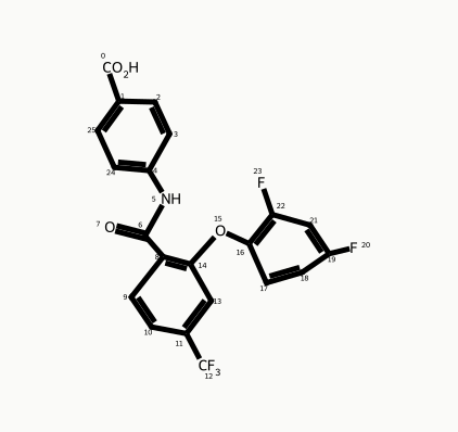 O=C(O)c1ccc(NC(=O)c2ccc(C(F)(F)F)cc2Oc2ccc(F)cc2F)cc1